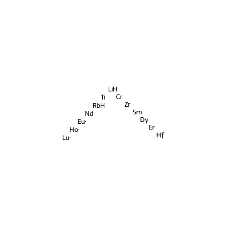 [Cr].[Dy].[Er].[Eu].[Hf].[Ho].[LiH].[Lu].[Nd].[RbH].[Sm].[Ti].[Zr]